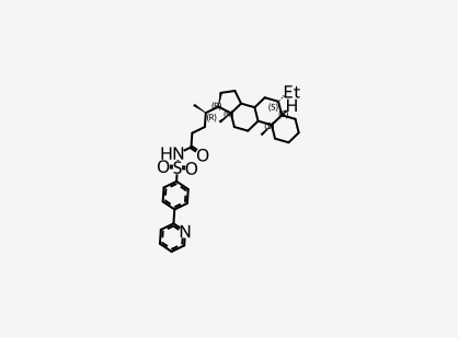 CC[C@H]1CC2C3CC[C@H]([C@H](C)CCC(=O)NS(=O)(=O)c4ccc(-c5ccccn5)cc4)[C@@]3(C)CCC2[C@@]2(C)CCCC[C@@H]12